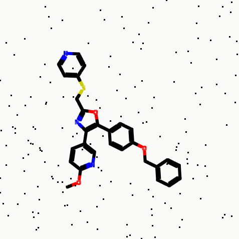 COc1ccc(-c2nc(CSc3ccncc3)oc2-c2ccc(OCc3ccccc3)cc2)cn1